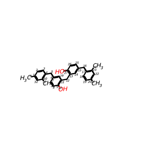 Cc1ccc(Cc2ccc(O)c(Cc3cc(Cc4ccc(C)cc4C)ccc3O)c2)c(C)c1